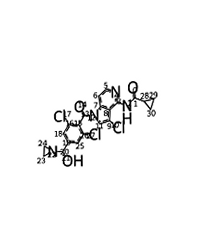 O=C(Nc1nccc2c1c(Cl)cn2C(=O)c1c(Cl)cc(C(O)N2CC2)cc1Cl)C1CC1